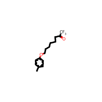 Cc1ccc(OCCCCCCC(=O)C(F)(F)F)cc1